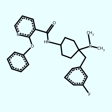 CN(C)C1(Cc2cccc(F)c2)CCC(NC(=O)c2cccnc2Oc2ccccc2)CC1